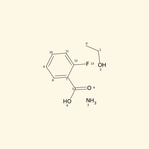 CCO.N.O=C(O)c1ccccc1F